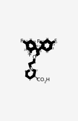 O=C(O)[C@@H]1CCCN(CCOC=C(c2ccc(F)cc2F)c2ccc(F)cc2F)C1